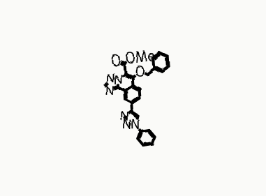 COC(=O)c1c(OCc2ccccc2)c2ccc(-c3cn(-c4ccccc4)nn3)cc2c2ncnn12